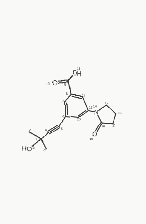 CC(C)(O)C#Cc1cc(C(=O)O)cc(N2CCCC2=O)c1